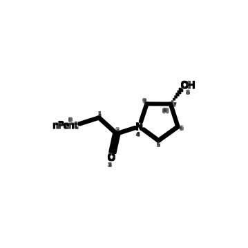 CCCCCCC(=O)N1CC[C@@H](O)C1